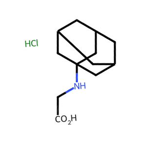 Cl.O=C(O)CNC12CC3CC(CC(C3)C1)C2